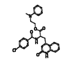 CN(CCOC(=O)C(Cc1cc(=O)[nH]c2ccccc12)NC(=O)c1ccc(Cl)cc1)c1ccccc1